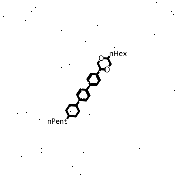 CCCCCCC1COC(c2ccc(-c3ccc(C4CCC(CCCCC)CC4)cc3)cc2)CO1